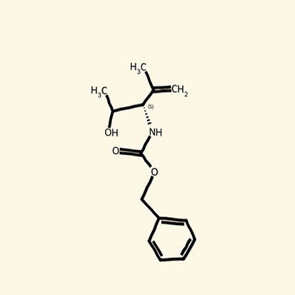 C=C(C)[C@H](NC(=O)OCc1ccccc1)C(C)O